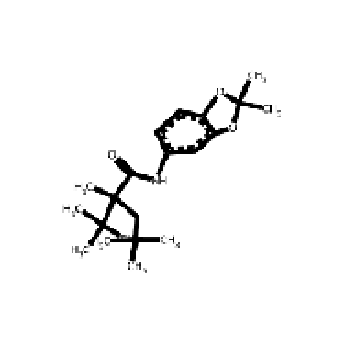 CC(C)(C)CC(C)(C(=O)Nc1ccc2c(c1)OC(C)(C)O2)C(C)(C)C